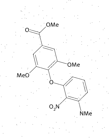 CNc1cccc(Oc2c(OC)cc(C(=O)OC)cc2OC)c1[N+](=O)[O-]